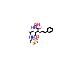 CCN(NC(=O)[C@H](CC(C)C)[C@H](CC=Cc1ccccc1)C(=O)NO)S(C)(=O)=O